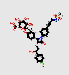 C[C@@]1(Oc2ccc([C@@H]3[C@@H](CC[C@H](O)c4ccc(F)cc4)C(=O)N3c3ccc(C#CCNS(C)(=O)=O)cc3)cc2)O[C@H](C(=O)O)[C@@H](O)[C@H](O)[C@H]1O